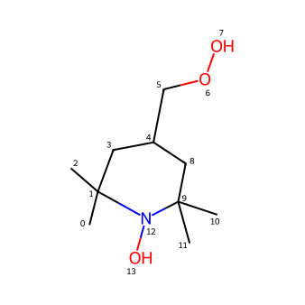 CC1(C)CC(COO)CC(C)(C)N1O